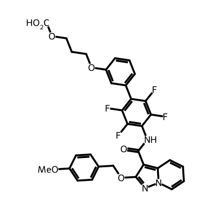 COc1ccc(COc2nn3ccccc3c2C(=O)Nc2c(F)c(F)c(-c3cccc(OCCCOC(=O)O)c3)c(F)c2F)cc1